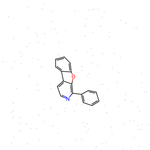 c1ccc(-c2nccc3c2oc2ccccc23)cc1